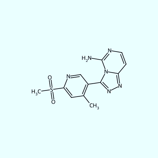 Cc1cc(S(C)(=O)=O)ncc1-c1nnc2ccnc(N)n12